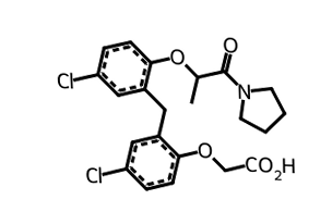 CC(Oc1ccc(Cl)cc1Cc1cc(Cl)ccc1OCC(=O)O)C(=O)N1CCCC1